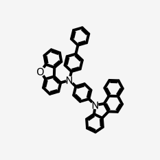 c1ccc(-c2ccc(N(c3ccc(-n4c5ccccc5c5ccc6ccccc6c54)cc3)c3cccc4oc5ccccc5c34)cc2)cc1